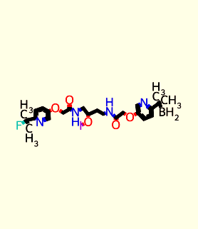 BC(C)(C)c1ccc(OCC(=O)NCCC(CNC(=O)COc2ccc(C(C)(C)F)nc2)OI)cn1